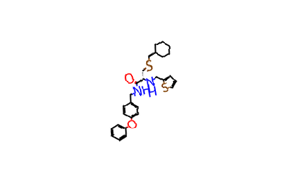 O=C(NCc1ccc(Oc2ccccc2)cc1)[C@H](CSCC1CCCCC1)NCc1cccs1